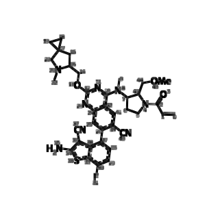 C=CC(=O)N1CCC(N(C)c2nc(OCC3CC4(CC4)CN3C)nc3cc(-c4ccc(F)c5sc(N)c(C#N)c45)c(C#N)cc23)C1COC